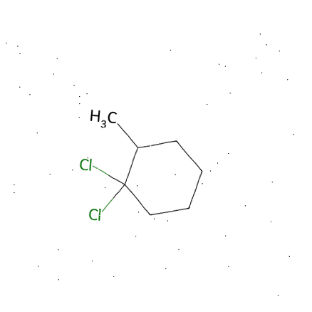 CC1CCCCC1(Cl)Cl